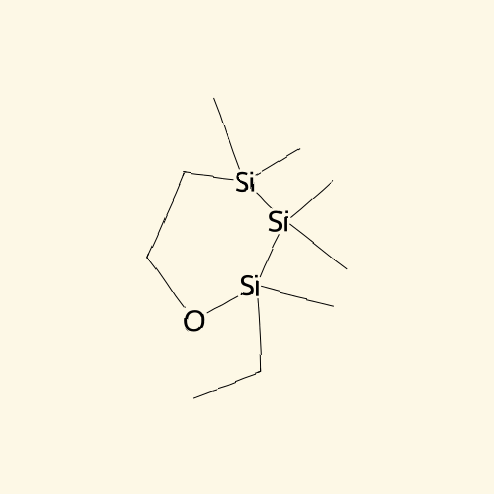 CC[Si]1(C)OCC[Si](C)(C)[Si]1(C)C